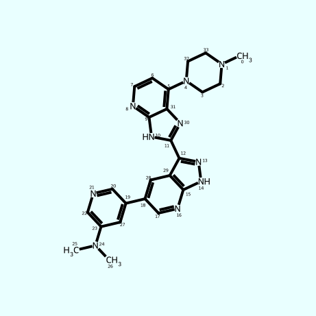 CN1CCN(c2ccnc3[nH]c(-c4n[nH]c5ncc(-c6cncc(N(C)C)c6)cc45)nc23)CC1